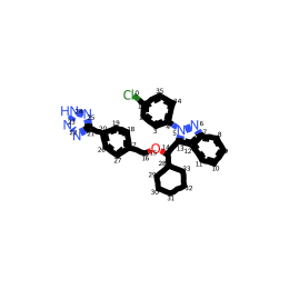 Clc1ccc(-n2nc3ccccc3c2C(OCc2ccc(-c3nn[nH]n3)cc2)C2CCCCC2)cc1